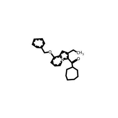 CCc1cc2c(OCc3ccccc3)cccn2c1C(=O)C1CCCCCC1